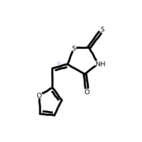 O=C1NC(=S)S/C1=C/c1ccco1